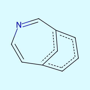 C1=Cc2cccc(c2)C=N1